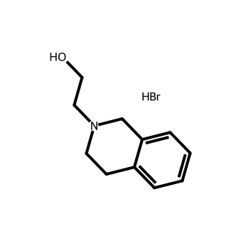 Br.OCCN1CCc2ccccc2C1